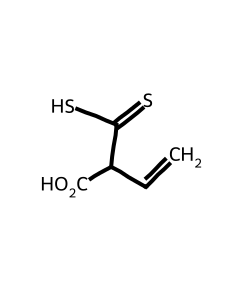 C=CC(C(=O)O)C(=S)S